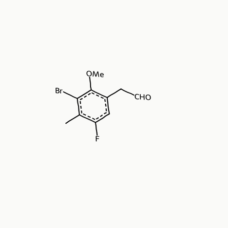 COc1c(CC=O)cc(F)c(C)c1Br